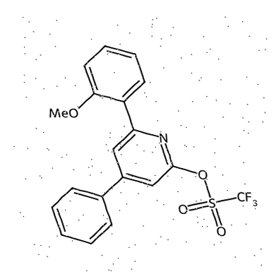 COc1ccccc1-c1cc(-c2ccccc2)cc(OS(=O)(=O)C(F)(F)F)n1